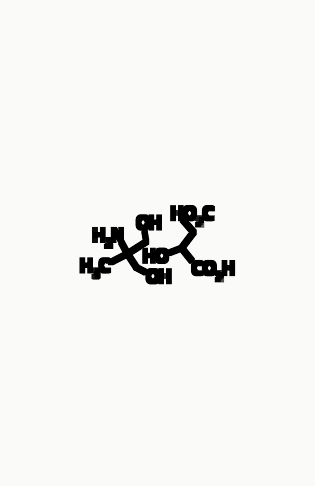 CC(N)(CO)CO.O=C(O)CC(O)C(=O)O